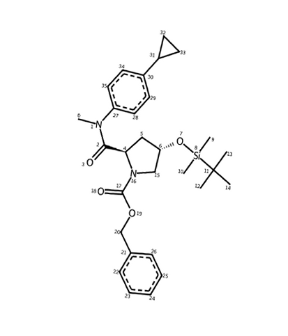 CN(C(=O)[C@H]1C[C@H](O[Si](C)(C)C(C)(C)C)CN1C(=O)OCc1ccccc1)c1ccc(C2CC2)cc1